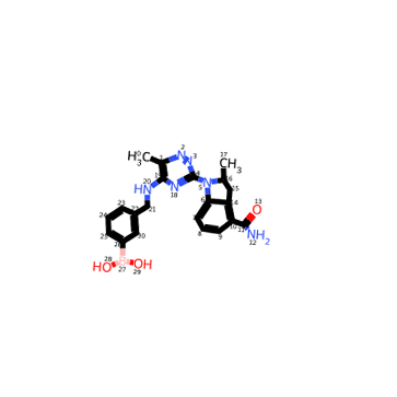 Cc1nnc(N2c3cccc(C(N)=O)c3CC2C)nc1NCc1cccc(B(O)O)c1